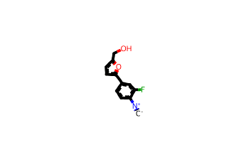 [C-]#[N+]c1ccc(-c2ccc(CO)o2)cc1F